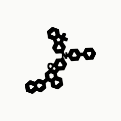 CC1(C)c2ccccc2-c2ccc(N(c3ccc(-c4ccccc4)cc3)c3ccc4c(c3)oc3cc(-c5ccc6ccccc6c5)c5ccccc5c34)cc21